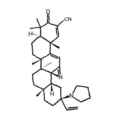 C=C[C@]1(N2CCCC2)CC[C@]2(C)CC[C@@]3(C)[C@]4(C)CC[C@H]5C(C)(C)C(=O)C(C#N)=C[C@]5(C)C4=CC4=N[C@]43[C@@H]2C1